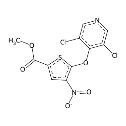 COC(=O)c1cc([N+](=O)[O-])c(Oc2c(Cl)cncc2Cl)s1